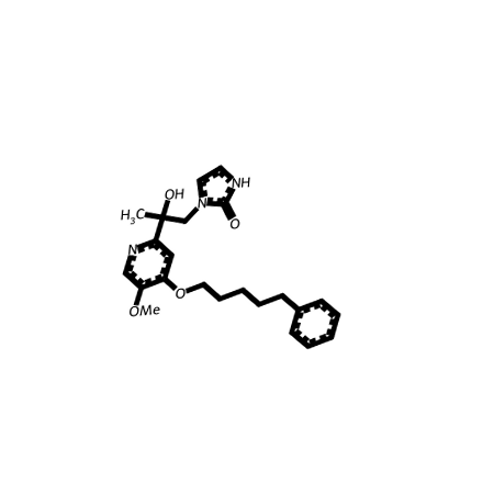 COc1cnc(C(C)(O)Cn2cc[nH]c2=O)cc1OCCCCCc1ccccc1